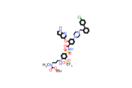 CN(CCCNc1ccc(S(=O)(=O)NC(=O)c2ccc(N3CCN(Cc4ccccc4-c4ccc(Cl)cc4)CC3)cc2Oc2cnc3[nH]ccc3c2)cc1S(=O)(=O)C(F)(F)F)C(=O)OC(C)(C)C